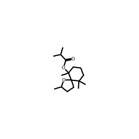 CC1CCC2(O1)C(C)(C)CCCC2(C)OC(=O)C(C)C